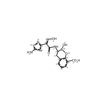 Nc1nc(C(=NO)C(=O)NC2Cc3cccc(C(=O)O)c3OB2O)ns1